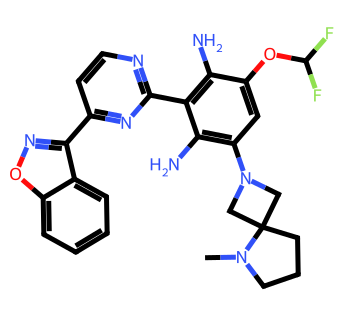 CN1CCCC12CN(c1cc(OC(F)F)c(N)c(-c3nccc(-c4noc5ccccc45)n3)c1N)C2